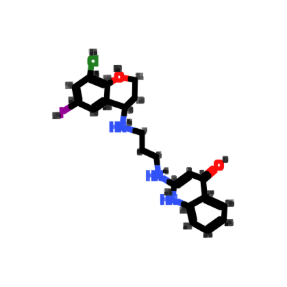 O=c1cc(NCCCNC2CCOc3c(Cl)cc(I)cc32)[nH]c2ccccc12